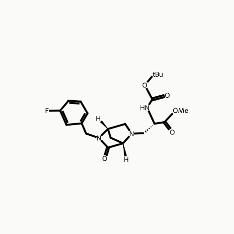 COC(=O)[C@H](CN1C[C@@H]2C[C@H]1C(=O)N2Cc1cccc(F)c1)NC(=O)OC(C)(C)C